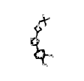 Cc1ccc(-c2nnn(C3CN(CC(F)(F)F)C3)n2)cc1C